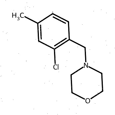 Cc1[c]cc(CN2CCOCC2)c(Cl)c1